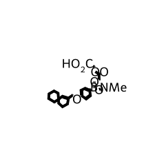 CNOB(OCC(=O)OCC(=O)O)c1ccc(OCC2=CC3(CCCCC3)CCC2)cc1